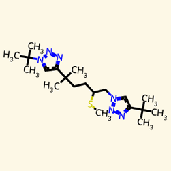 CSC(CCC(C)(C)c1cn(C(C)(C)C)nn1)Cn1cc(C(C)(C)C)nn1